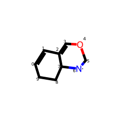 C1=CC2=COC[N]C2CC1